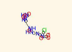 COc1cc2c(cc1OC(C)C)C(c1ccc(Cl)cc1)N(c1ccc(N(C)C[C@H]3CC[C@H](NCC(=O)NCCCCCc4ccc5c(c4)n(C)c(=O)n5C4CCC(=O)NC4=O)CC3)cc1)C(=O)C2